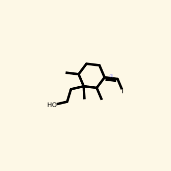 CC1CC/C(=C/I)C(C)C1(C)CCO